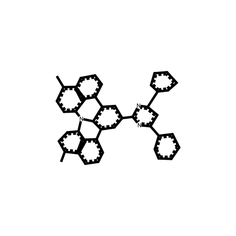 Cc1ccc(N(c2ccc(C)cc2)c2c(-c3ccccc3)cc(-c3nc(-c4ccccc4)cc(-c4ccccc4)n3)cc2-c2ccccc2)cc1